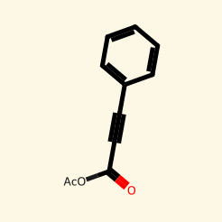 CC(=O)OC(=O)C#Cc1ccccc1